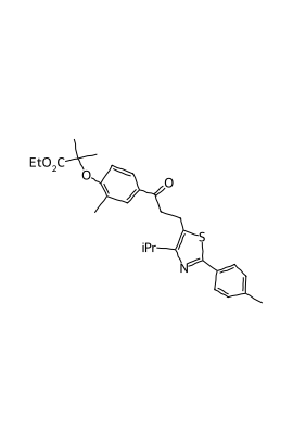 CCOC(=O)C(C)(C)Oc1ccc(C(=O)CCc2sc(-c3ccc(C)cc3)nc2C(C)C)cc1C